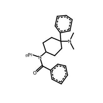 CCCN(C(=O)c1ccccc1)C1CCC(c2ccccc2)(N(C)C)CC1